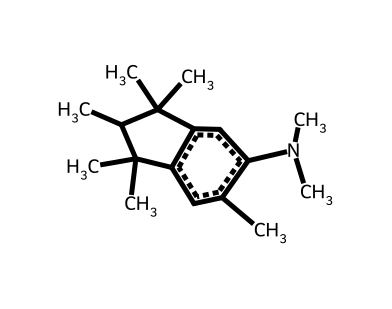 Cc1cc2c(cc1N(C)C)C(C)(C)C(C)C2(C)C